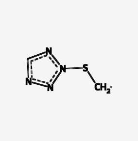 [CH2]Sn1ncnn1